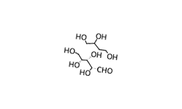 O=C[C@H](O)[C@@H](O)[C@H](O)CO.OCCC(O)CO